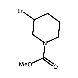 [CH2]CC1CCCN(C(=O)OC)C1